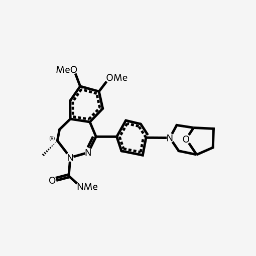 CNC(=O)N1N=C(c2ccc(N3CC4CCC(C3)O4)cc2)c2cc(OC)c(OC)cc2C[C@H]1C